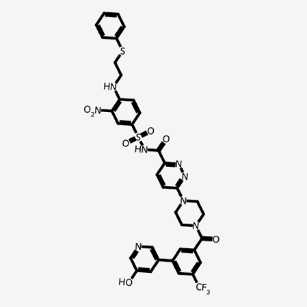 O=C(NS(=O)(=O)c1ccc(NCCSc2ccccc2)c([N+](=O)[O-])c1)c1ccc(N2CCN(C(=O)c3cc(-c4cncc(O)c4)cc(C(F)(F)F)c3)CC2)nn1